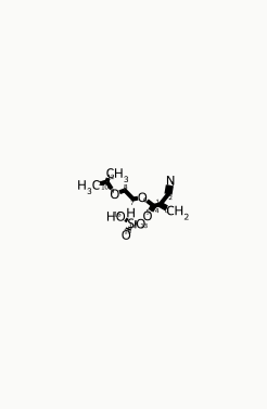 C=C(C#N)C(=O)OCCOC(C)C.O=[SH](=O)O